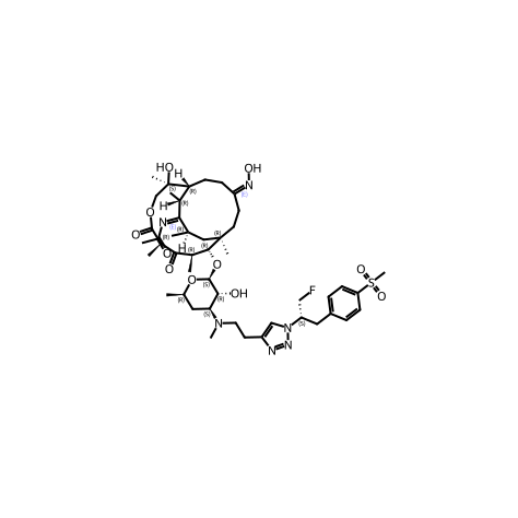 CC(=O)/N=C1\[C@H](C)C[C@@]2(C)CC/C(=N/O)CC[C@H]([C@H]1C)[C@](C)(O)COC(=O)[C@H](C)C(=O)[C@H](C)[C@H]2O[C@@H]1O[C@H](C)C[C@H](N(C)CCc2cn([C@H](CF)Cc3ccc(S(C)(=O)=O)cc3)nn2)[C@H]1O